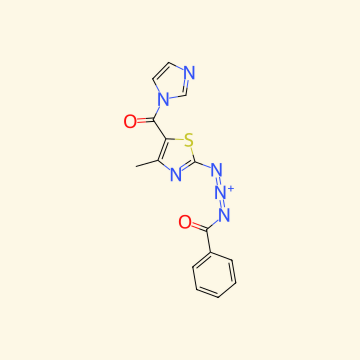 Cc1nc(N=[N+]=NC(=O)c2ccccc2)sc1C(=O)n1ccnc1